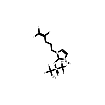 CN1C=CN(CCCC(F)=C(F)F)C1OP(=O)(C(F)(F)C(F)(F)F)C(F)(F)C(F)(F)F